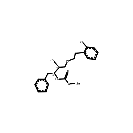 CC(C)(C)OC(=O)N[C@@H](Cc1ccccc1)[C@@H](O)CNCCc1ccccc1Cl